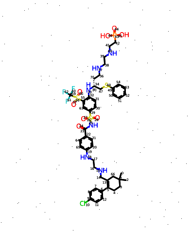 CC1(C)CCC(c2ccc(Cl)cc2)=C(CNCCNc2ccc(C(=O)NS(=O)(=O)c3ccc(N[C@H](CCNCCNCCP(=O)(O)O)CSc4ccccc4)c(S(=O)(=O)C(F)(F)F)c3)cc2)C1